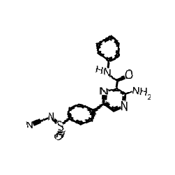 N#CN=[SH](=O)c1ccc(-c2cnc(N)c(C(=O)Nc3ccccc3)n2)cc1